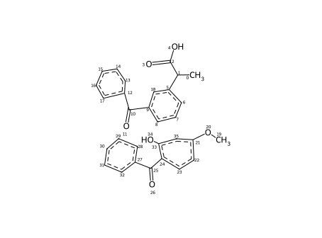 CC(C(=O)O)c1cccc(C(=O)c2ccccc2)c1.COc1ccc(C(=O)c2ccccc2)c(O)c1